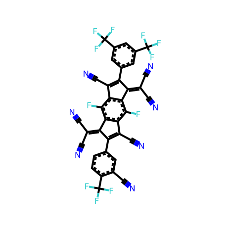 N#CC(C#N)=C1C(c2cc(C(F)(F)F)cc(C(F)(F)F)c2)=C(C#N)c2c(F)c3c(c(F)c21)C(C#N)=C(c1ccc(C(F)(F)F)c(C#N)c1)C3=C(C#N)C#N